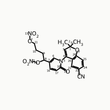 CC1(C)C=C(n2cc(C(CCCO[N+](=O)[O-])O[N+](=O)[O-])ccc2=O)c2cc(C#N)ccc2O1